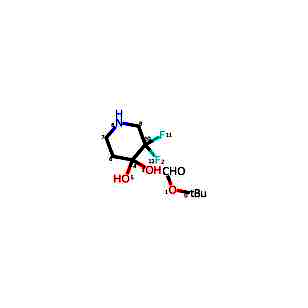 CC(C)(C)OC=O.OC1(O)CCNCC1(F)F